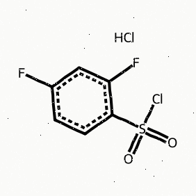 Cl.O=S(=O)(Cl)c1ccc(F)cc1F